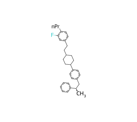 CCCc1ccc(CCC2CCC(c3ccc(C[C@@H](C)c4ccccc4)cc3)CC2)cc1F